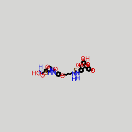 O=C(NO)c1cc2c(s1)CN(C(=O)Nc1ccc(OCCCCCNC(=S)Nc3ccc(-c4c5ccc(=O)cc-5oc5cc(O)ccc45)c(C(=O)O)c3)cc1)CCO2